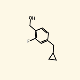 OCc1ccc(CC2CC2)cc1F